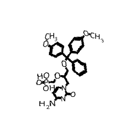 COc1ccc(C(OCC(Cn2ccc(N)nc2=O)OCP(=O)(O)O)(c2ccccc2)c2ccc(OC)cc2)cc1